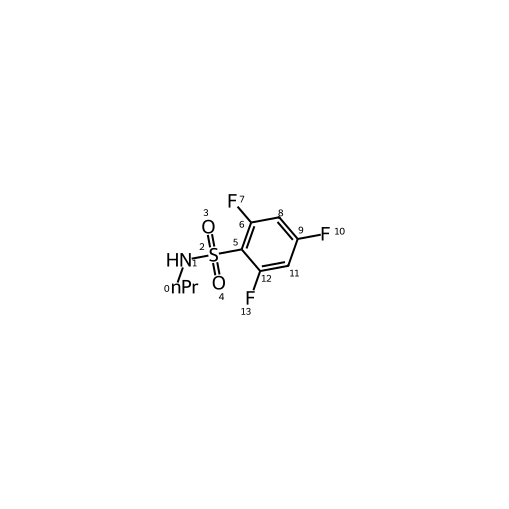 CCCNS(=O)(=O)c1c(F)cc(F)cc1F